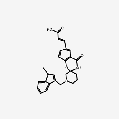 Cn1cc(CN2CCCC3(C2)NC(=O)c2cc(/C=C/C(=O)O)ccc2O3)c2ccccc21